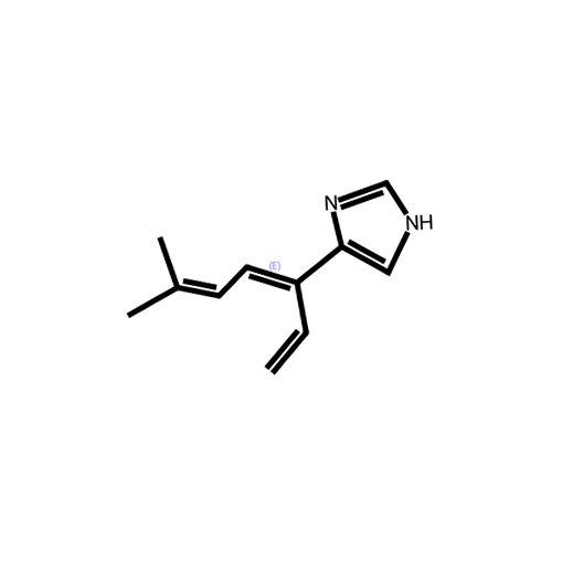 C=C/C(=C\C=C(C)C)c1c[nH]cn1